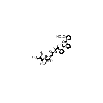 C[C@H](NC(=O)CNC(=O)[C@H](CO)NC(=O)[C@@H](N)CO)C(=O)N1CCC[C@H]1C(=O)N1CCC[C@H]1C(=O)N1CCC[C@H]1C(=O)O